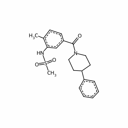 Cc1ccc(C(=O)N2CCC(c3ccccc3)CC2)cc1NS(C)(=O)=O